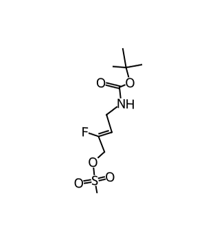 CC(C)(C)OC(=O)NCC=C(F)COS(C)(=O)=O